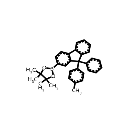 Cc1ccc(C2(c3ccccc3)c3ccccc3-c3ccc(B4OC(C)(C)C(C)(C)O4)cc32)cc1